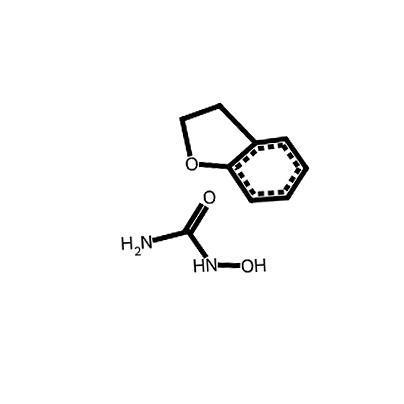 NC(=O)NO.c1ccc2c(c1)CCO2